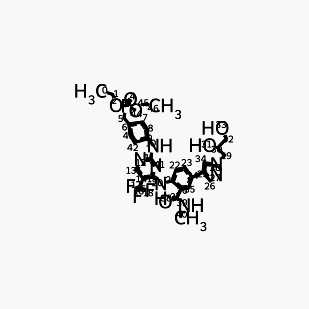 CCOP(=O)(Cc1ccc(Nc2ncc(C(F)(F)F)c(Nc3ccc(-c4cnn(C[C@H](O)CO)c4)cc3C(=O)NC)n2)cc1)OCC